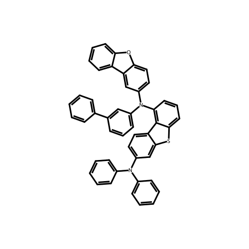 c1ccc(-c2cccc(N(c3ccc4oc5ccccc5c4c3)c3cccc4sc5cc(N(c6ccccc6)c6ccccc6)ccc5c34)c2)cc1